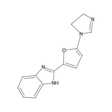 C1=NCCN1c1ccc(-c2nc3ccccc3[nH]2)o1